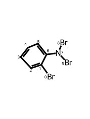 Brc1ccccc1N(Br)Br